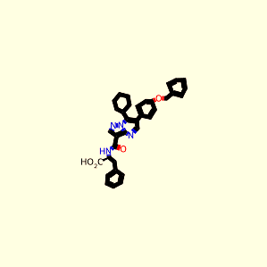 O=C(N[C@@H](Cc1ccccc1)C(=O)O)c1cnn2c(C3CCCCC3)c(-c3ccc(OCc4ccccc4)cc3)cnc12